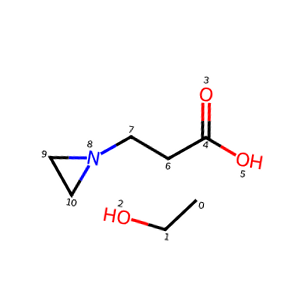 CCO.O=C(O)CCN1CC1